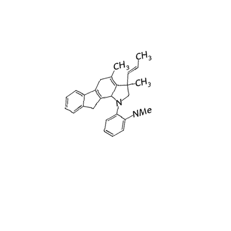 CC=CC1(C)CN(c2ccccc2NC)C2C3=C(CC(C)=C21)c1ccccc1C3